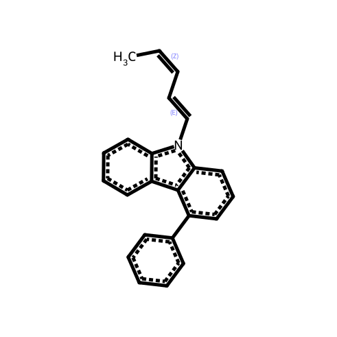 C/C=C\C=C\n1c2ccccc2c2c(-c3ccccc3)cccc21